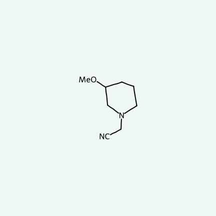 COC1CCCN(CC#N)C1